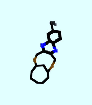 Cc1ccc2nc3c(nc2c1)CSC1CCCCCC(C1)SC3